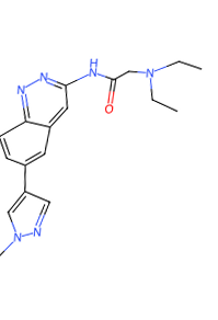 CCN(CC)CC(=O)Nc1cc2cc(-c3cnn(C)c3)ccc2nn1